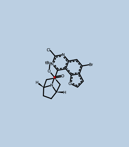 CC(C)(C)OC(=O)N1[C@@H]2CC[C@H]1CN(c1nc(Cl)nc3cc(Br)c4ccoc4c13)C2